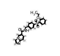 CCOc1ccccc1S(=O)(=O)c1ccc(CNC(=O)c2ccc3nccn3c2)cc1